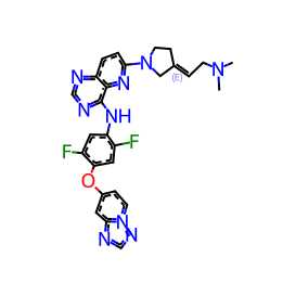 CN(C)C/C=C1\CCN(c2ccc3ncnc(Nc4cc(F)c(Oc5ccn6ncnc6c5)cc4F)c3n2)C1